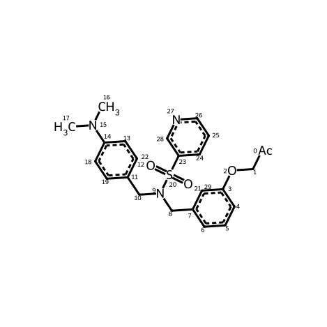 CC(=O)COc1cccc(CN(Cc2ccc(N(C)C)cc2)S(=O)(=O)c2cccnc2)c1